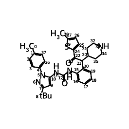 Cc1ccc(-n2nc(C(C)(C)C)cc2NC(=O)Nc2ccccc2C(C(=O)c2ccc(C)s2)C2CCNCC2)cc1